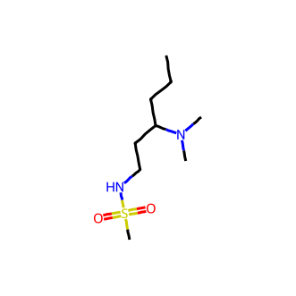 CCCC(CCNS(C)(=O)=O)N(C)C